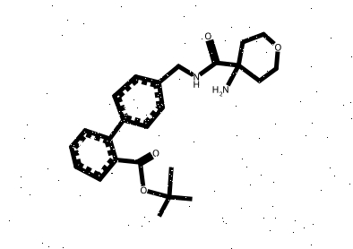 CC(C)(C)OC(=O)c1ccccc1-c1ccc(CNC(=O)C2(N)CCOCC2)cc1